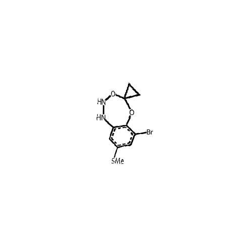 CSc1cc(Br)c2c(c1)NNOC1(CC1)O2